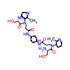 Cc1ncccc1N(CCC(=O)Nc1ccc(NC(=O)CCN(C(=O)[C@@H](N)CO)c2cccnc2C)cc1)C(=O)[C@@H](N)CO